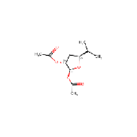 CC(=O)O[C@@H]1O[C@H](C(C)C)C[C@H]1OC(C)=O